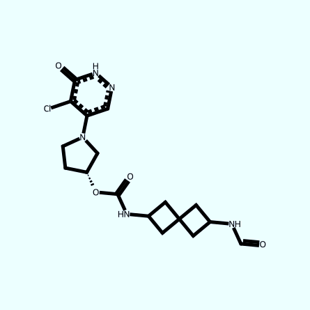 O=CNC1CC2(C1)CC(NC(=O)O[C@@H]1CCN(c3cn[nH]c(=O)c3Cl)C1)C2